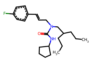 CCCC(CCC)CN(C/C=C/c1ccc(F)cc1)C(=O)NC1CCCC1